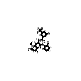 CCn1c(=O)cc(C)c2nc(Nc3ccccc3C)c(NC(=O)c3cc(F)cc(C(F)(F)F)c3)cc21